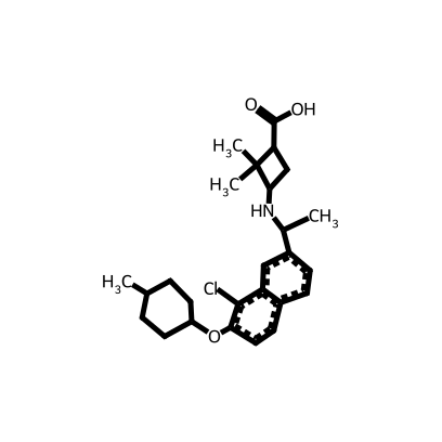 CC1CCC(Oc2ccc3ccc(C(C)NC4CC(C(=O)O)C4(C)C)cc3c2Cl)CC1